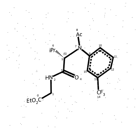 CCOC(=O)CNC(=O)[C@H](C(C)C)N(C(C)=O)c1cccc(C(F)(F)F)c1